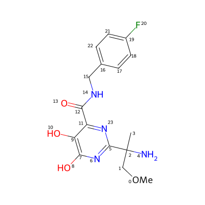 COCC(C)(N)c1nc(O)c(O)c(C(=O)NCc2ccc(F)cc2)n1